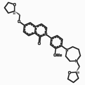 COc1cc(-n2ccc3cc(OC[C@@H]4CCCO4)ccc3c2=O)ccc1N1CCCN(C[C@@H]2CCCO2)CC1